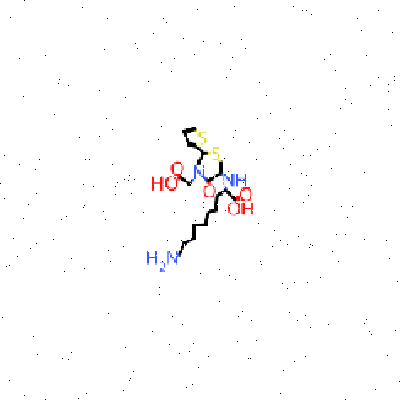 NCCCCCCCCC(NC1CSC(c2cccs2)CN(CC(=O)O)C1=O)C(=O)O